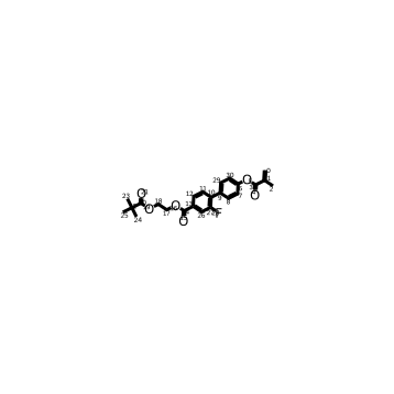 C=C(C)C(=O)Oc1ccc(-c2ccc(C(=O)OCCOC(=O)C(C)(C)C)cc2F)cc1